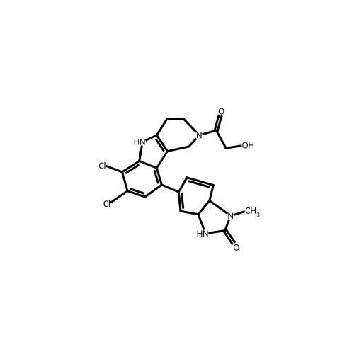 CN1C(=O)NC2C=C(c3cc(Cl)c(Cl)c4[nH]c5c(c34)CN(C(=O)CO)CC5)C=CC21